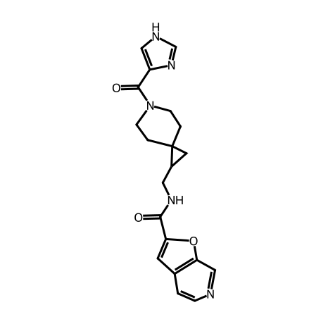 O=C(NCC1CC12CCN(C(=O)c1c[nH]cn1)CC2)c1cc2ccncc2o1